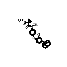 COC(=O)C1(C(=O)N(C)c2ccc(Nc3ccc(C45CC6CC(CC(C6)C4)C5)cc3Cl)cc2)CC1